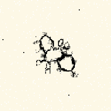 O=C1Nc2cc(Br)ccc2S(=O)(=O)N2CCCCC12